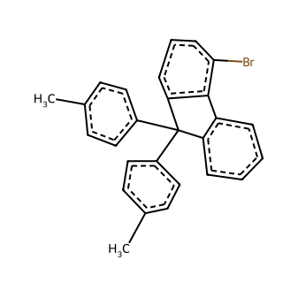 Cc1ccc(C2(c3ccc(C)cc3)c3ccccc3-c3c(Br)cccc32)cc1